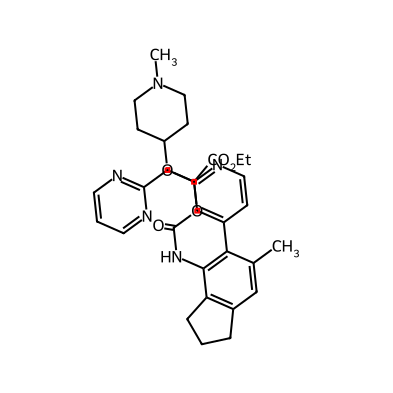 CCOC(=O)C(Cc1ncccn1)OC(=O)Nc1c2c(cc(C)c1-c1ccnc(OC3CCN(C)CC3)c1)CCC2